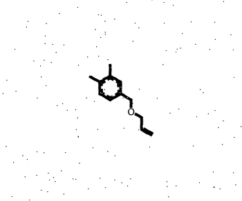 C=CCOCc1ccc(C)c(C)c1